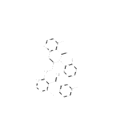 C=C1c2c(C)ccnc2C=C(CNc2ncnc(N)c2C(=N)c2cccc(F)c2)N1c1ccccc1F